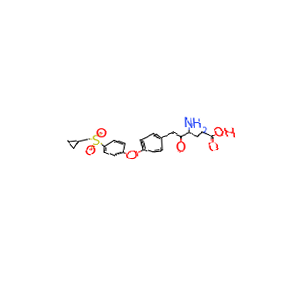 NC(CCC(=O)O)C(=O)Cc1ccc(Oc2ccc(S(=O)(=O)CC3CC3)cc2)cc1